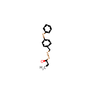 C=CC(=O)SSCc1ccc(Sc2ccccc2)cc1